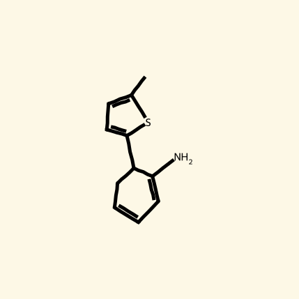 Cc1ccc(C2CC=CC=C2N)s1